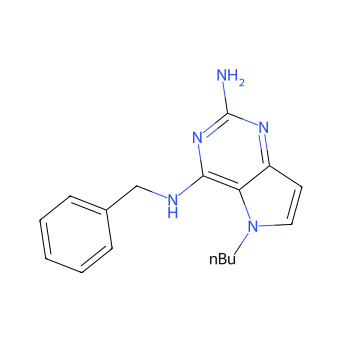 CCCCn1ccc2nc(N)nc(NCc3ccccc3)c21